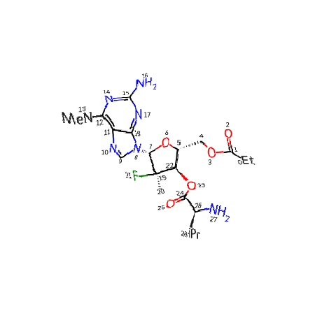 CCC(=O)OC[C@H]1O[C@@H](n2cnc3c(NC)nc(N)nc32)[C@](C)(F)[C@@H]1OC(=O)[C@@H](N)C(C)C